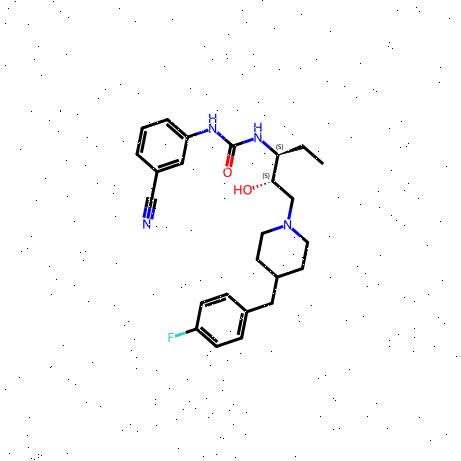 CC[C@H](NC(=O)Nc1cccc(C#N)c1)[C@@H](O)CN1CCC(Cc2ccc(F)cc2)CC1